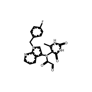 Cc1[nH]c(=O)[nH]c(=O)c1N(C(=O)C=O)c1cn(Cc2ccc(F)cc2)c2ncccc12